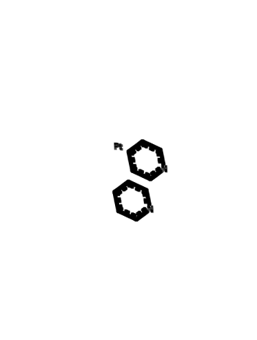 [Pt].c1ccncc1.c1ccncc1